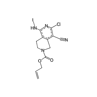 C=CCOC(=O)N1CCc2c(NI)nc(Cl)c(C#N)c2C1